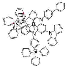 c1ccc(-c2ccc(N3c4cc(-n5c6ccccc6c6ccccc65)cc5c4B(c4cc([Si](c6ccccc6)(c6ccccc6)c6ccccc6)ccc4N5c4ccc([Si](c5ccccc5)(c5ccccc5)c5ccccc5)cc4)c4c3cccc4[Si](c3ccccc3)(c3ccccc3)c3ccccc3)cc2)cc1